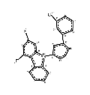 Fc1cc(F)c2c3ccccc3n(-c3cccc(-c4cccc(Cl)c4)c3)c2c1